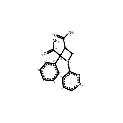 NC(=O)C1CN(c2cccnn2)C1(C(N)=O)c1ccccc1